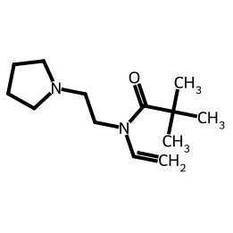 C=CN(CCN1CCCC1)C(=O)C(C)(C)C